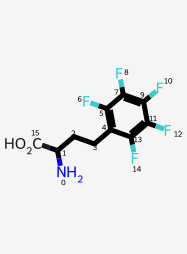 NC(CCc1c(F)c(F)c(F)c(F)c1F)C(=O)O